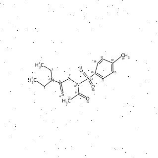 CCN(CC)C(=S)SN(C(C)=O)S(=O)(=O)c1ccc(C)cc1